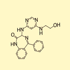 O=C1Nc2ccccc2C(c2ccccc2)=NC1Nc1cc(NCCO)ncn1